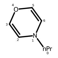 CCCN1C=COC=C1